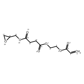 C=CC(=O)OCCOC(=O)CCC(=O)OCC1CO1